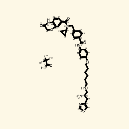 N[C@H](CNCCCCCCOc1ccc(NC(=O)c2ccc(CN(C(=O)c3ccc4c(c3)OCC(=O)N4)C3CC3)cc2)cc1)Cc1cscn1.O=C(O)C(F)(F)F